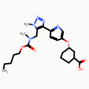 CCCCCOC(=O)N(C)Cc1c(-c2ccc(O[C@H]3CCCC(C(=O)O)C3)cn2)nnn1C